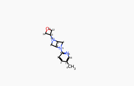 Cc1ccc(N2CC3C2CN3C2COC2)nc1